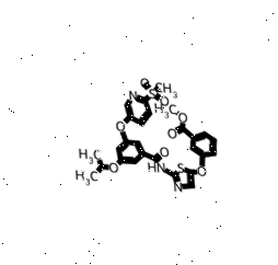 COC(=O)c1cccc(Oc2cnc(NC(=O)c3cc(Oc4ccc(S(C)(=O)=O)nc4)cc(OC(C)C)c3)s2)c1